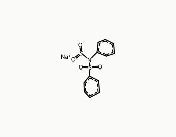 O=[S-](=O)N(c1ccccc1)S(=O)(=O)c1ccccc1.[Na+]